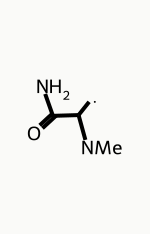 [CH2]C(NC)C(N)=O